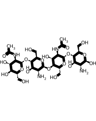 CC(=O)N[C@H]1[C@H](O[C@H]2[C@H](O)[C@@H](N)[C@H](O)O[C@@H]2CO)O[C@H](CO)[C@@H](O[C@@H]2O[C@H](CO)[C@@H](O[C@@H]3O[C@H](CO)[C@@H](O)[C@H](O)[C@H]3NC(C)=O)[C@H](O)[C@H]2N)[C@@H]1O